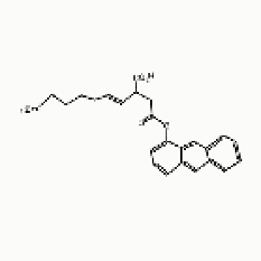 CCCCCCCCCCCCCCC=CC(CC(=O)Oc1cccc2cc3ccccc3cc12)C(=O)O